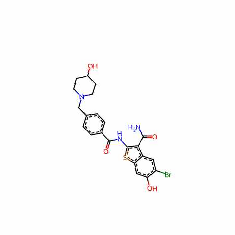 NC(=O)c1c(NC(=O)c2ccc(CN3CCC(O)CC3)cc2)sc2cc(O)c(Br)cc12